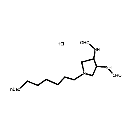 CCCCCCCCCCCCCCCCN1CC(NC=O)C(NC=O)C1.Cl